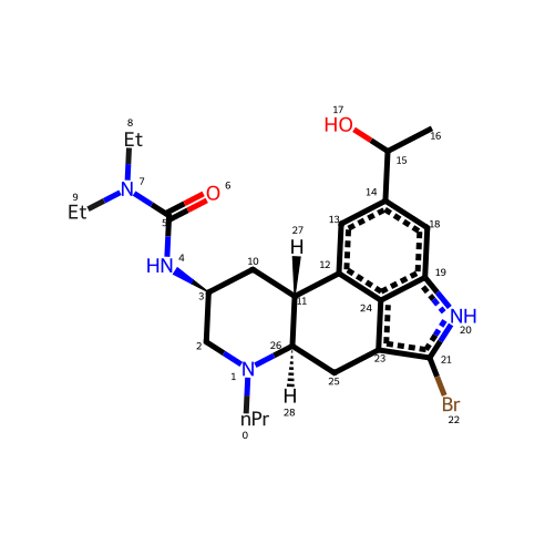 CCCN1C[C@@H](NC(=O)N(CC)CC)C[C@@H]2c3cc(C(C)O)cc4[nH]c(Br)c(c34)C[C@H]21